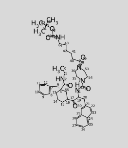 CCNC(=O)[C@]1(Cc2ccccc2)CCCC(C(=O)C(Cc2ccc3ccccc3c2)NC(=O)N2CCN(C(=O)CCCCCNC(=O)OC(C)(C)C)CC2)C1